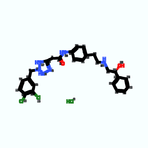 Cl.O=C(CC1=NNN(Cc2ccc(Cl)c(Cl)c2)N1)Nc1ccc(CCNC[C@H](O)c2ccccc2)cc1